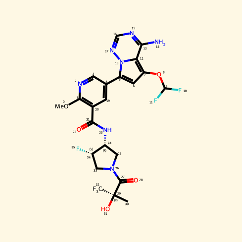 COc1ncc(-c2cc(OC(F)F)c3c(N)ncnn23)cc1C(=O)N[C@@H]1CN(C(=O)[C@@](C)(O)C(F)(F)F)C[C@@H]1F